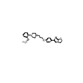 COc1ccccc1N1CCN(CCCOc2ccc(-c3cn4c(n3)SCC4)cc2)CC1